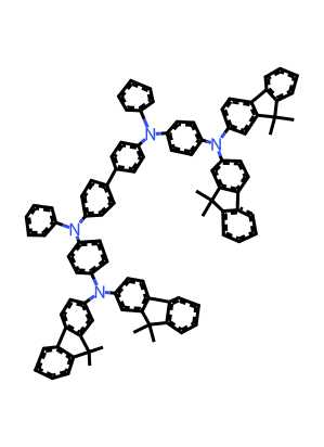 CC1(C)c2ccccc2-c2ccc(N(c3ccc(N(c4ccccc4)c4ccc(-c5ccc(N(c6ccccc6)c6ccc(N(c7ccc8c(c7)C(C)(C)c7ccccc7-8)c7ccc8c(c7)C(C)(C)c7ccccc7-8)cc6)cc5)cc4)cc3)c3ccc4c(c3)C(C)(C)c3ccccc3-4)cc21